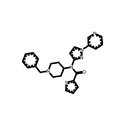 O=C(c1cccs1)N(c1ccn(-c2cccnc2)n1)C1CCN(Cc2ccccc2)CC1